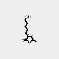 CC1CC(CCCCCO)C(=O)O1